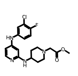 COC(=O)CN1CCC(Nc2cc(Nc3ccc(F)c(Cl)c3)ccn2)CC1